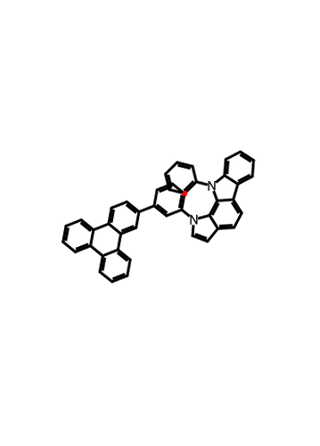 c1ccc(-n2c3ccccc3c3ccc4ccn(-c5cccc(-c6ccc7c8ccccc8c8ccccc8c7c6)c5)c4c32)cc1